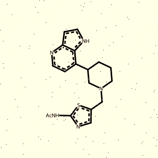 CC(=O)Nc1ncc(CN2CCCC(c3ccnc4cc[nH]c34)C2)s1